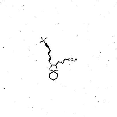 C[Si](C)(C)C#CC=CC=C[C@H]1OC2(CCCCC2)OC1COCC(=O)O